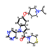 CC(C)N1CCC(Oc2ccc3c(c2)cc(C(=O)N2CCSCC2)n3-c2cncnc2)CC1